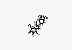 COc1ccc(-c2nc3c([nH]2)c(=O)n(C)c(=O)n3C)cc1O